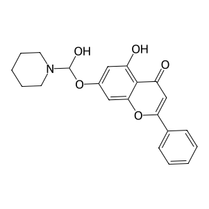 O=c1cc(-c2ccccc2)oc2cc(OC(O)N3CCCCC3)cc(O)c12